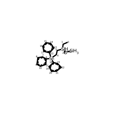 CC[SiH](CC[Si](c1ccccc1)(c1ccccc1)c1ccccc1)O[SiH3]